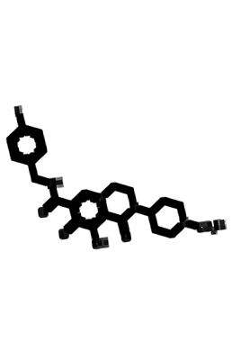 CCOC(=O)N1CCC(N2CCn3cc(C(=O)NCc4ccc(F)cc4)c(=O)c(O)c3C2=O)CC1